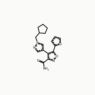 NC(=O)c1noc(-c2ccco2)c1-c1cnn(CC2CCCC2)c1